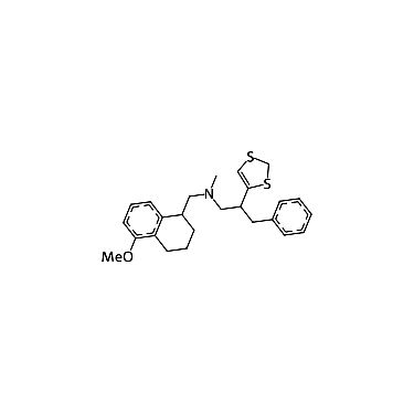 COc1cccc2c1CCCC2CN(C)CC(Cc1ccccc1)C1=CSCS1